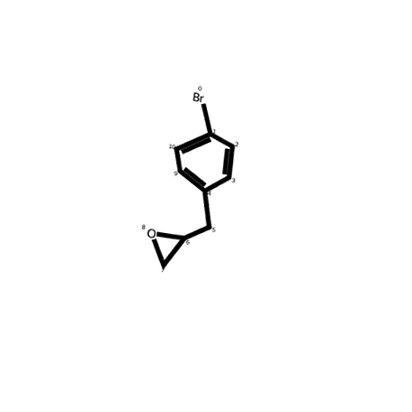 Brc1ccc(CC2CO2)cc1